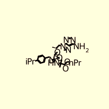 CCCOC(=O)C(C)(C)NP(=O)(CO[C@@H](C)Cn1cnc2c(N)ncnc21)N(C)Cc1ccc(C(C)C)cc1